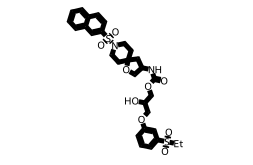 CCS(=O)(=O)c1cccc(OCC(O)COC(=O)NC2COC3(CCN(S(=O)(=O)c4ccc5ccccc5c4)CC3)C2)c1